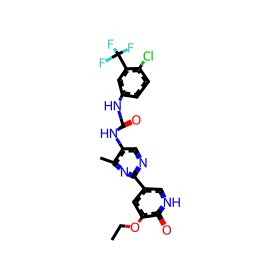 CCOc1cc(-c2ncc(NC(=O)Nc3ccc(Cl)c(C(F)(F)F)c3)c(C)n2)c[nH]c1=O